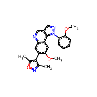 COc1cc2c(cc1-c1c(C)noc1C)ncc1cnn(-c3ccccc3OC)c12